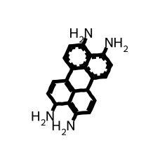 NC1=C2C3=C(C=CC2N)c2ccc(N)c4c(N)ccc(c24)C3C=C1